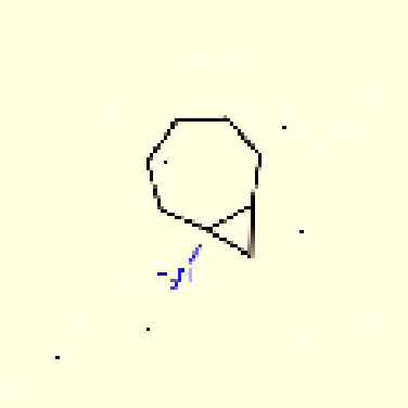 N[C@]12CCCCCC1C2